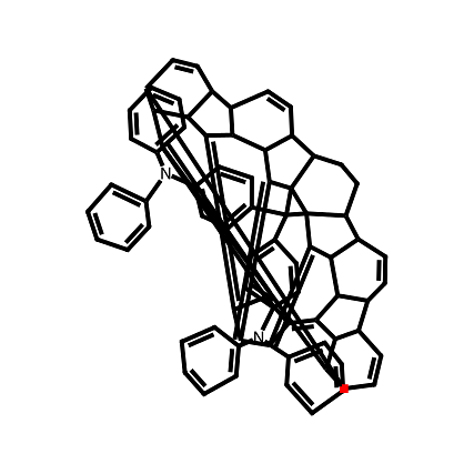 C1=CC2C3C=CC4C5C6=C7C8=C(C2C2C9=C8C8=C%10C%11C(C=CC(C12)C9%11)C1C=CC2C(C(=C87)C78C2CCC4C67C8(c2ccc(N(c4ccccc4)c4ccccc4)cc2)c2ccc(N(c4ccccc4)c4ccccc4)cc2)C%101)C35